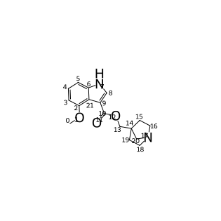 COc1cccc2[nH]cc(C(=O)OCC34CCN(CC3)C4)c12